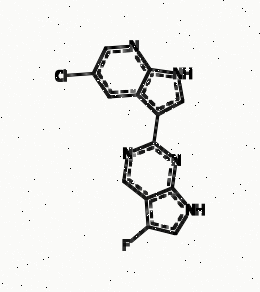 Fc1c[nH]c2nc(-c3c[nH]c4ncc(Cl)cc34)ncc12